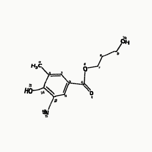 Cc1cc(C(=O)OCCCO)cc(C(C)(C)C)c1O